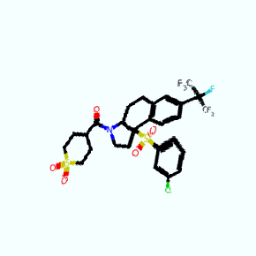 O=C(C1CCS(=O)(=O)CC1)N1CCC2(S(=O)(=O)c3cccc(Cl)c3)c3ccc(C(F)(C(F)(F)F)C(F)(F)F)cc3CCC12